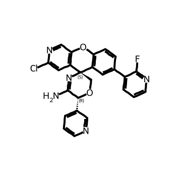 NC1=N[C@@]2(CO[C@@H]1c1cccnc1)c1cc(-c3cccnc3F)ccc1Oc1cnc(Cl)cc12